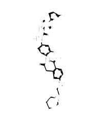 Cc1ccc(S(=O)(=O)NC(=O)Nc2ccc(N3C(=O)Cc4cc(NCCN5CCCCC5)ccc4C3=O)c(F)c2)s1